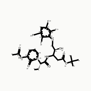 CC[C@@H](C(=O)NC(CC(=O)OC(C)(C)C)[C@H](O)COc1c(F)c(F)cc(F)c1F)n1cccc(NC(C)=O)c1=O